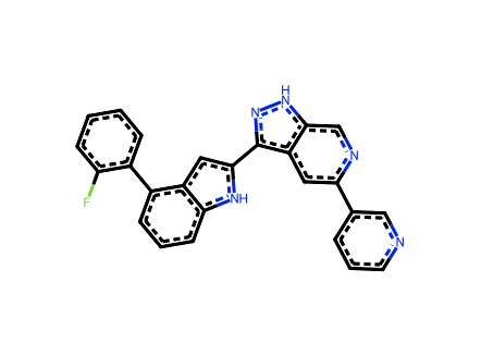 Fc1ccccc1-c1cccc2[nH]c(-c3n[nH]c4cnc(-c5cccnc5)cc34)cc12